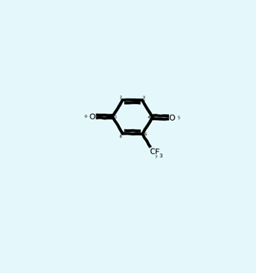 O=C1C=[C]C(=O)C(C(F)(F)F)=C1